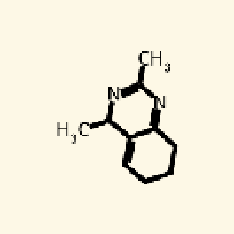 CC1=NC(C)C2=CCCCC2=N1